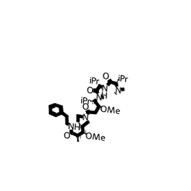 CO[C@@H]([C@@H]1CCN(C(=O)C[C@@H](OC)[C@H](C(C)C)N(C)C(=O)[C@@H](NC(=O)[C@H](C(C)C)N(C)C)C(C)C)C1)[C@@H](C)C(=O)NCCc1ccccc1